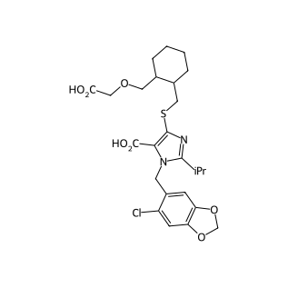 CC(C)c1nc(SCC2CCCCC2COCC(=O)O)c(C(=O)O)n1Cc1cc2c(cc1Cl)OCO2